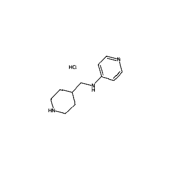 Cl.c1cc(NCC2CCNCC2)ccn1